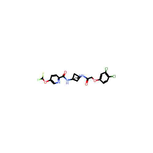 O=C(COc1ccc(Cl)c(Cl)c1)NC12CC(NC(=O)c3ccc(OC(F)F)cn3)(C1)C2